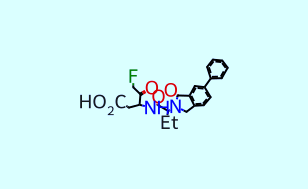 CCC(C(=O)NC(CC(=O)O)C(=O)CF)N1Cc2ccc(-c3ccccc3)cc2C1=O